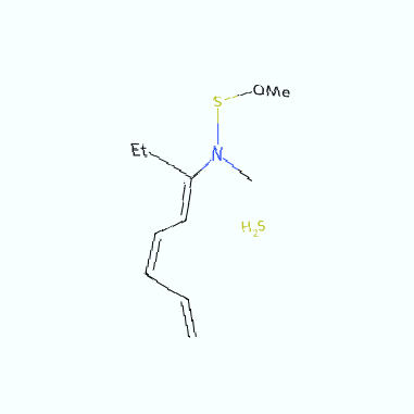 C=C/C=C\C=C(/CC)N(C)SOC.S